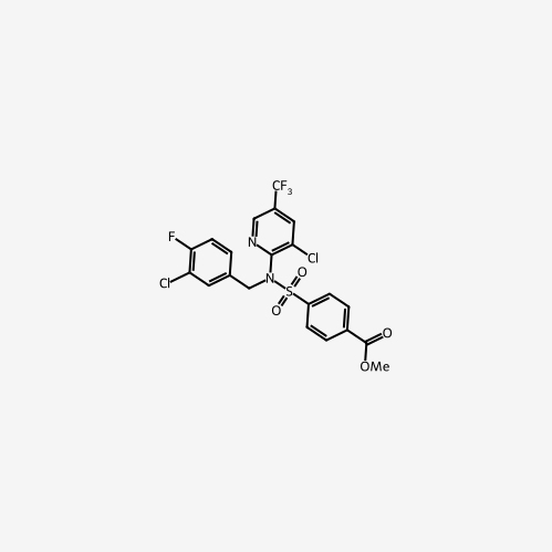 COC(=O)c1ccc(S(=O)(=O)N(Cc2ccc(F)c(Cl)c2)c2ncc(C(F)(F)F)cc2Cl)cc1